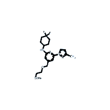 COCCOCc1cc(NC2CCC(F)(F)CC2)nc(-n2ccc(C)n2)c1